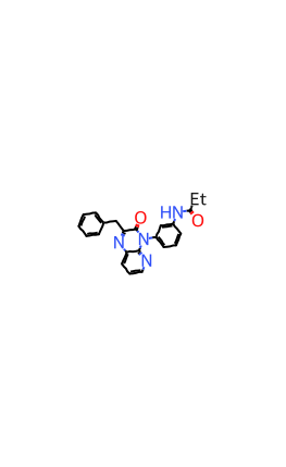 CCC(=O)Nc1cccc(-n2c(=O)c(Cc3ccccc3)nc3cccnc32)c1